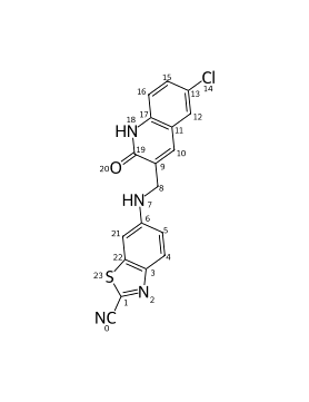 N#Cc1nc2ccc(NCc3cc4cc(Cl)ccc4[nH]c3=O)cc2s1